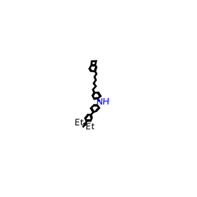 CCC(C)(CC)c1ccc(-c2ccc(Nc3ccc(CCCCCCc4ccc5c(c4)CC5)cc3)cc2)cc1